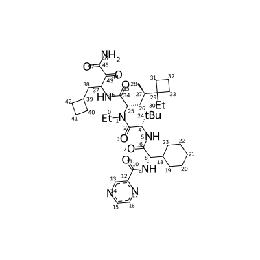 CCN(C(=O)[C@@H](NC(=O)[C@@H](NC(=O)c1cnccn1)C1CCCCC1)C(C)(C)C)[C@@H](C[C@@H](C)C1(CC)CCC1)C(=O)NC(CC1CCC1)C(=O)C(N)=O